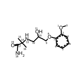 COc1ccccc1OCC(O)CNC(C)(C)C(N)=O